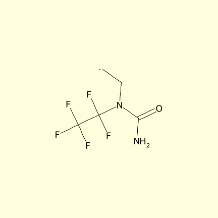 [CH2]CN(C(N)=O)C(F)(F)C(F)(F)F